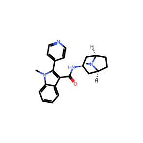 CN1[C@@H]2CC[C@H]1C[C@@H](NC(=O)c1c(-c3ccncc3)n(C)c3ccccc13)C2